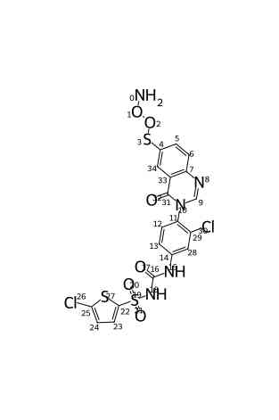 NOOSc1ccc2ncn(-c3ccc(NC(=O)NS(=O)(=O)c4ccc(Cl)s4)cc3Cl)c(=O)c2c1